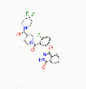 O=C(c1cc(Oc2n[nH]c(=O)c3ccccc23)ccc1F)N1CCC(C(=O)N2CCC(F)(F)CC2)CC1